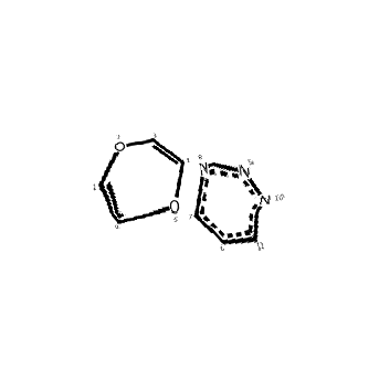 C1=COC=CO1.c1cnnnc1